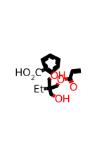 C=CC(=O)OCC(CC)(CO)CO.O=C(O)c1ccccc1